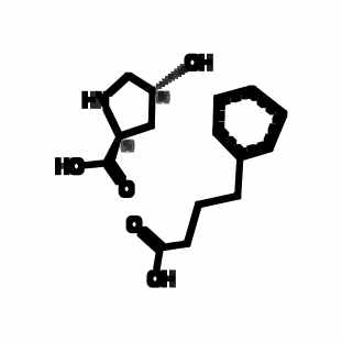 O=C(O)CCCc1ccccc1.O=C(O)[C@@H]1C[C@@H](O)CN1